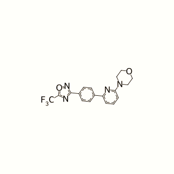 FC(F)(F)c1nc(-c2ccc(-c3cccc(N4CCOCC4)n3)cc2)no1